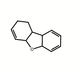 C1=CC2OC3C=CCCC3C2C=C1